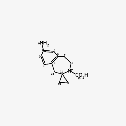 Nc1ccc2c(c1)CCN(C(=O)O)C1(CC1)C2